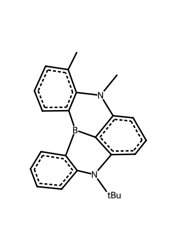 Cc1cccc2c1N(C)c1cccc3c1B2c1ccccc1N3C(C)(C)C